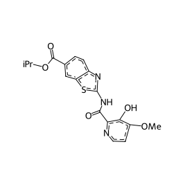 COc1ccnc(C(=O)Nc2nc3ccc(C(=O)OC(C)C)cc3s2)c1O